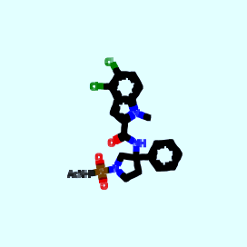 CC(=O)NS(=O)(=O)N1CCC(NC(=O)c2cc3c(Cl)c(Cl)ccc3n2C)(c2ccccc2)C1